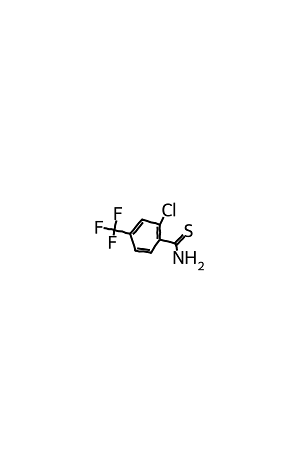 NC(=S)c1ccc(C(F)(F)F)cc1Cl